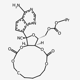 CC(C)OC(=O)OC[C@H]1O[C@@](C#N)(c2ccc3c(N)ncnn23)[C@@H]2OC(=O)OCCCCCCOC(=O)O[C@@H]21